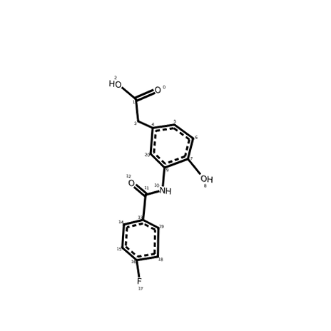 O=C(O)Cc1ccc(O)c(NC(=O)c2ccc(F)cc2)c1